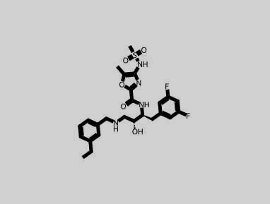 CCc1cccc(CNC[C@@H](O)[C@H](Cc2cc(F)cc(F)c2)NC(=O)c2nc(NS(C)(=O)=O)c(C)o2)c1